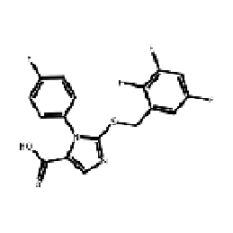 O=C(O)c1cnc(SCc2cc(F)cc(F)c2F)n1-c1ccc(F)cc1